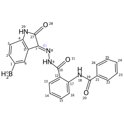 Bc1ccc2c(c1)/C(=N\NC(=O)c1ccccc1NC(=O)c1ccccc1)C(=O)N2